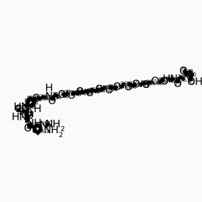 NC(N)=Nc1cccc(C(=O)NCC(=O)N[C@@H](CC(=O)O)C(=O)Nc2ccc(OCCCNC(=O)CCOCCOCCOCCOCCOCCOCCOCCOCCOCCOCCOCCOCCNC(=O)CCN3C(=O)C=CC3O)cc2)c1